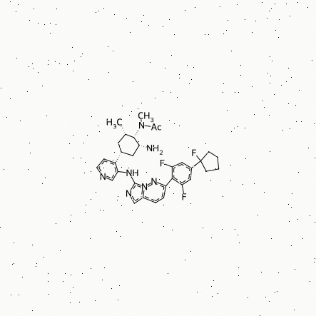 CC(=O)N(C)[C@@H]1[C@H](N)C[C@H](c2ccncc2Nc2ncc3ccc(-c4c(F)cc(C5(F)CCCC5)cc4F)nn23)C[C@@H]1C